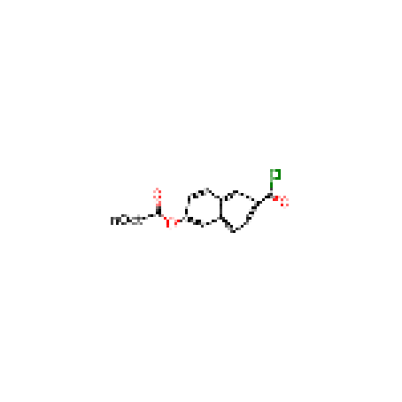 CCCCCCCCC(=O)Oc1ccc2cc(C(=O)Cl)ccc2c1